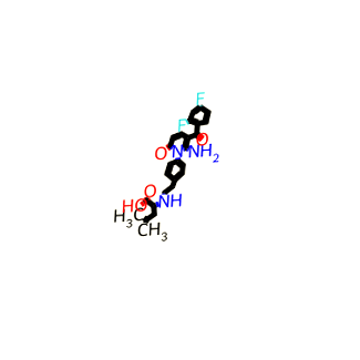 CC(C)CC(NCCc1ccc(-n2c(N)c(C(=O)c3ccc(F)cc3F)ccc2=O)cc1)C(=O)O